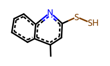 Cc1cc(SS)nc2ccccc12